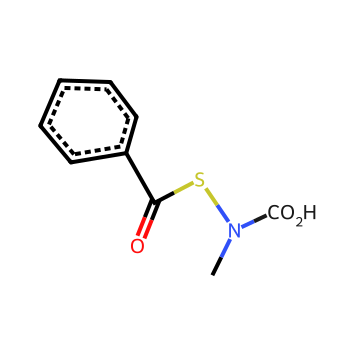 CN(SC(=O)c1ccccc1)C(=O)O